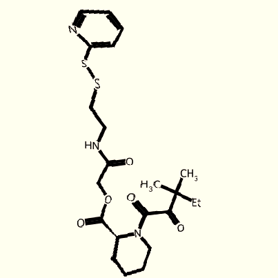 CCC(C)(C)C(=O)C(=O)N1CCCC[C@H]1C(=O)OCC(=O)NCCSSc1ccccn1